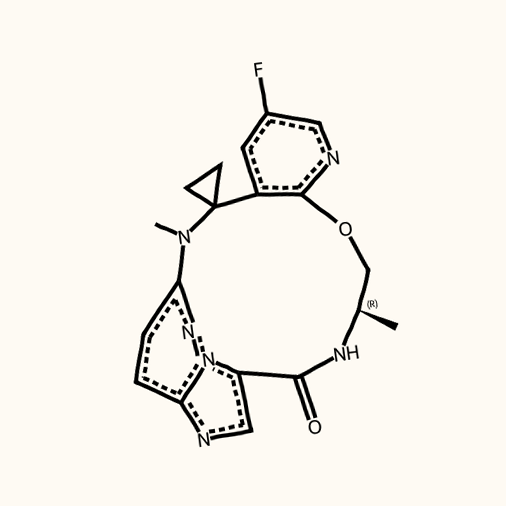 C[C@@H]1COc2ncc(F)cc2C2(CC2)N(C)c2ccc3ncc(n3n2)C(=O)N1